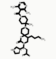 CCCCC1CN([C@@H](CC(F)F)[C@H]2CCNC2)C(=O)OC12CCN(C1(C)CCN(C(=O)c3c(C)ncnc3C)CC1)CC2